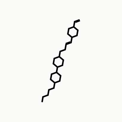 C=CC1CCC(C=CCCC2CCC(C3CCC(CCCCC)CC3)CC2)CC1